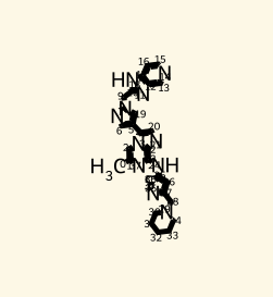 Cc1cn2c(-c3cnn(Cc4nc5cnccc5[nH]4)c3)cnc2c(Nc2cc(CN3CCCCC3)ns2)n1